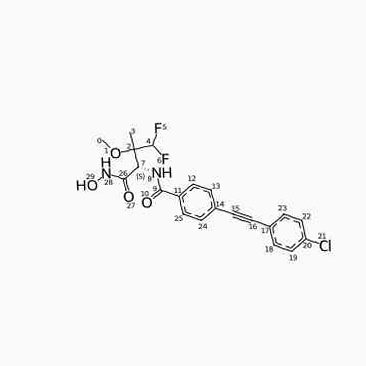 COC(C)(C(F)F)[C@H](NC(=O)c1ccc(C#Cc2ccc(Cl)cc2)cc1)C(=O)NO